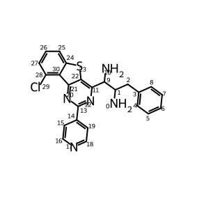 NC(Cc1ccccc1)C(N)c1nc(-c2ccncc2)nc2c1sc1cccc(Cl)c12